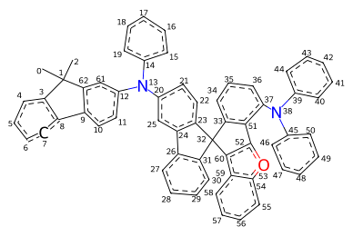 CC1(C)c2ccccc2-c2ccc(N(c3ccccc3)c3ccc4c(c3)-c3ccccc3C43c4cccc(N(c5ccccc5)c5ccccc5)c4-c4oc5ccccc5c43)cc21